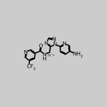 C[C@H](NC(=O)c1cncc(C(F)(F)F)c1)c1ncnn1-c1ccc(N)cn1